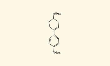 CCCCCCc1ccc(C2=CCC(CCCCCC)CC2)cc1